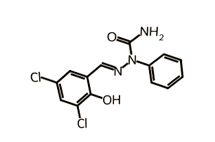 NC(=O)N(N=Cc1cc(Cl)cc(Cl)c1O)c1ccccc1